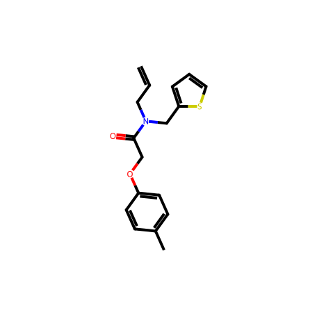 C=CCN(Cc1cccs1)C(=O)COc1ccc(C)cc1